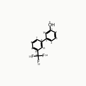 Oc1cccc(-c2cccc(C(F)(F)F)c2)c1